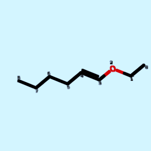 C[CH]OC=CCCCC